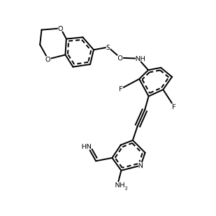 N=Cc1cc(C#Cc2c(F)ccc(NOSc3ccc4c(c3)OCCO4)c2F)cnc1N